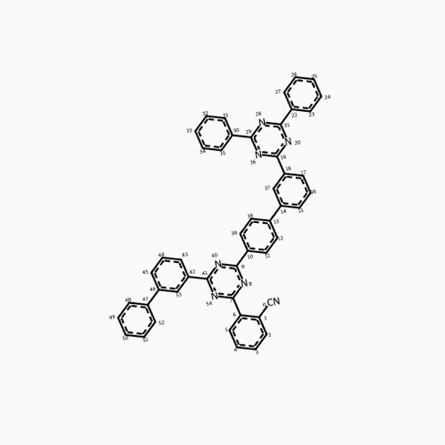 N#Cc1ccccc1-c1nc(-c2ccc(-c3cccc(-c4nc(-c5ccccc5)nc(-c5ccccc5)n4)c3)cc2)nc(-c2cccc(-c3ccccc3)c2)n1